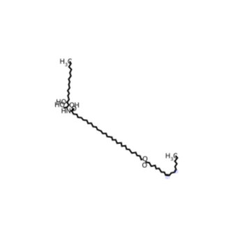 CCCCC/C=C\C/C=C\CCCCCCCC(=O)OCCCCCCCCCCCCCCCCCCCCCCCCCCCCCC(=O)NC(CO)C(O)C(O)CCCCCCCCCCCCCC